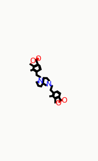 Cc1c(CCN2CCCC3(CCCN3CCc3ccc4c(c3C)COC4=O)C2)ccc2c1COC2=O